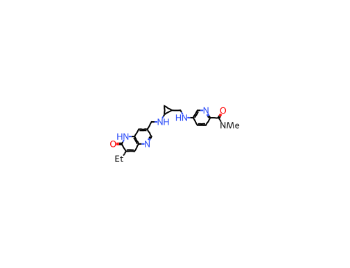 CCc1cc2ncc(CNC3CC3CNc3ccc(C(=O)NC)nc3)cc2[nH]c1=O